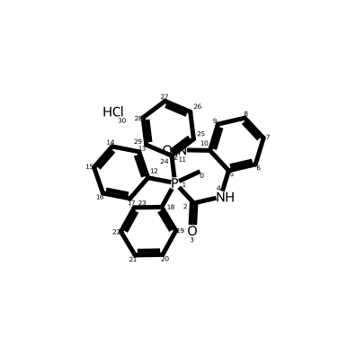 CP(C(=O)Nc1ccccc1[N+](=O)[O-])(c1ccccc1)(c1ccccc1)c1ccccc1.Cl